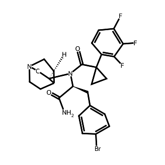 NC(=O)[C@H](Cc1ccc(Br)cc1)N(C(=O)C1(c2ccc(F)c(F)c2F)CC1)[C@@H]1CN2CCC1CC2